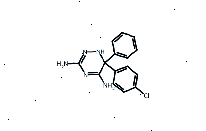 NC1=NNC(c2ccccc2)(c2ccc(Cl)cc2)C(N)=N1